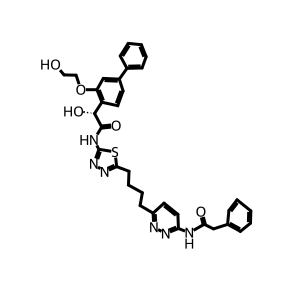 O=C(Cc1ccccc1)Nc1ccc(CCCCc2nnc(NC(=O)[C@H](O)c3ccc(-c4ccccc4)cc3OCCO)s2)nn1